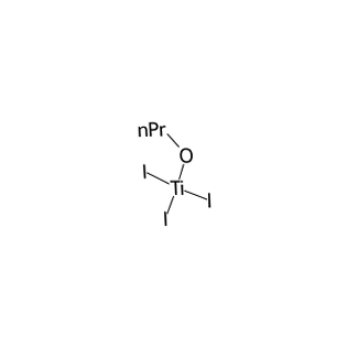 CCC[O][Ti]([I])([I])[I]